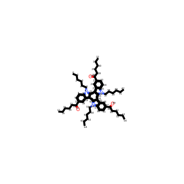 CCCCCCn1c2ccc(C(=O)CCCCC)cc2c2c1c1c3cc(C(=O)CCCCC)ccc3n(CCCCCC)c1c1c3cc(C(=O)CCCCC)ccc3n(CCCCCC)c21